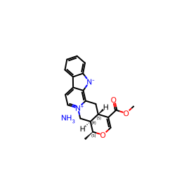 COC(=O)C1=CO[C@@H](C)[C@H]2C[n+]3ccc4c([n-]c5ccccc54)c3C[C@H]12.N